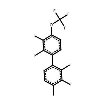 Cc1ccc(-c2ccc(OC(F)(F)F)c(I)c2I)c(I)c1I